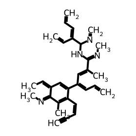 C#C/C=C\C1=C(C)C(=N/C)/C(=C\C)C=C1C(=C/C=C)/C=C(C)/C(=N/C)NC(N=C)/C(C=C)=C/C=C